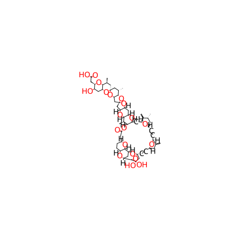 C=C1C[C@@H]2CC[C@]34CC(O)(O)C(O3)[C@H]3C[C@@H](O4)[C@H]4O[C@H](CC[C@@H]4O3)CC(=O)O[C@@H]3[C@@H](C)[C@@H]4O[C@@H]5C[C@]6(CC7O[C@]8(C[C@H](C)C9O[C@H](CC(=O)O)[C@H](O)CC9O8)C[C@H](C)C7O6)O[C@@H]5C[C@@H]4O[C@H]3C[C@H]3O[C@@H](CC[C@@H]1O2)C[C@@H](C)C3=C